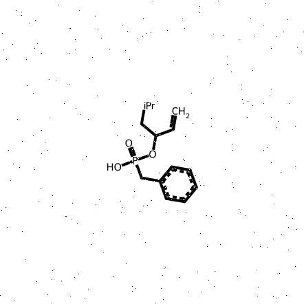 C=CC(CC(C)C)OP(=O)(O)Cc1ccccc1